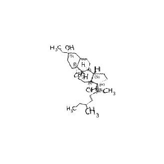 CCC(C)CC[C@@H](C)[C@H]1CC[C@H]2[C@@H]3CC=C4C[C@](O)(CC)CC[C@]4(C)[C@H]3CC[C@]12C